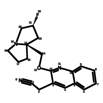 N#CCc1cc2ccccc2nc1OC[C@@]12CCCN1C[C@H](F)C2